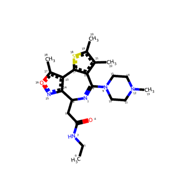 CCNC(=O)CC1N=C(N2CCN(C)CC2)c2c(sc(C)c2C)-c2c1noc2C